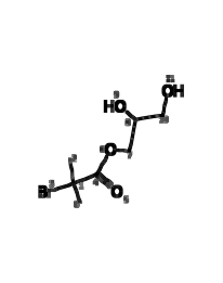 CC(C)(Br)C(=O)OCC(O)CO